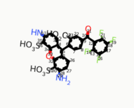 N=c1ccc2c(-c3ccc(C(=O)c4c(F)c(F)cc(F)c4F)cc3C(=O)O)c3ccc(N)c(S(=O)(=O)O)c3oc-2c1S(=O)(=O)O